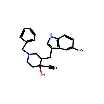 C#CC1(O)CCN(Cc2ccccc2)CC1Cc1c[nH]c2ccc(OC)cc12